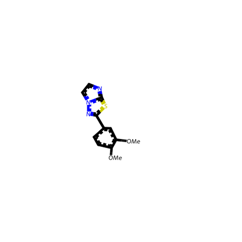 COc1ccc(-c2nn3ccnc3s2)cc1OC